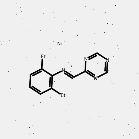 CCc1cccc(CC)c1N=Cc1ncncn1.[Ni]